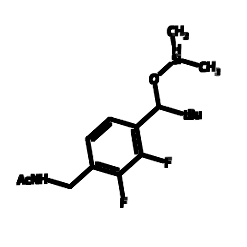 CC(=O)NCc1ccc(C(O[SiH](C)C)C(C)(C)C)c(F)c1F